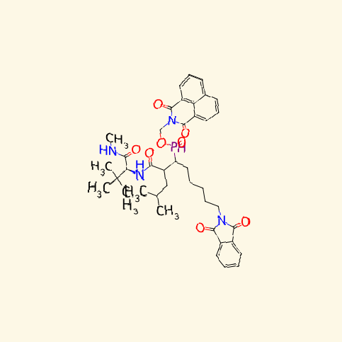 CNC(=O)[C@@H](NC(=O)C(CC(C)C)C(CCCCCN1C(=O)c2ccccc2C1=O)[PH](=O)OCN1C(=O)c2cccc3cccc(c23)C1=O)C(C)(C)C